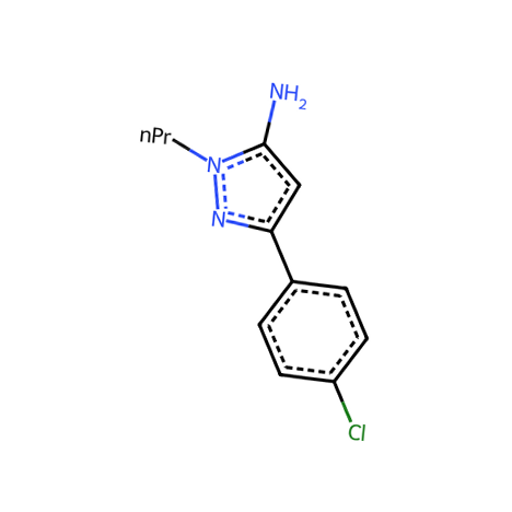 CCCn1nc(-c2ccc(Cl)cc2)cc1N